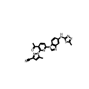 CC(=O)c1ccc(-n2cnc3cc(Nc4nnc(C)s4)ccc32)nc1-n1nc(C#N)cc1C